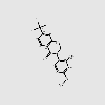 COc1ccc(N2CNc3cc(C(F)(F)F)ccc3C2=O)c(C)n1